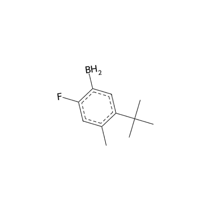 Bc1cc(C(C)(C)C)c(C)cc1F